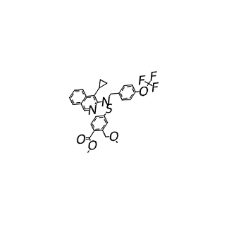 COCc1cc(SN(Cc2ccc(OC(F)(F)F)cc2)c2ncc3ccccc3c2C2CC2)ccc1C(=O)OC